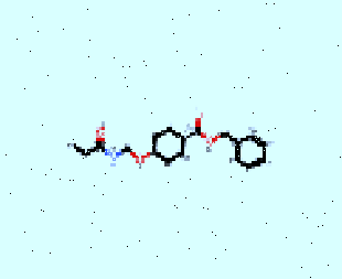 CCC(=O)NCO[C@H]1CC[C@@H](C(=O)OCc2ccccc2)CC1